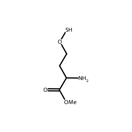 COC(=O)C(N)CCOS